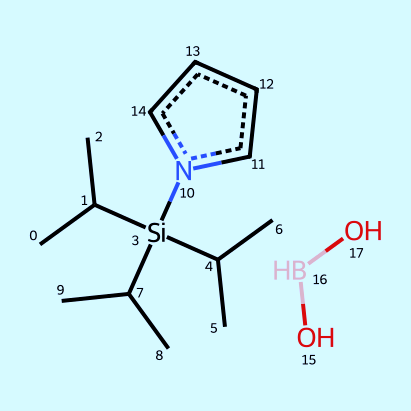 CC(C)[Si](C(C)C)(C(C)C)n1cccc1.OBO